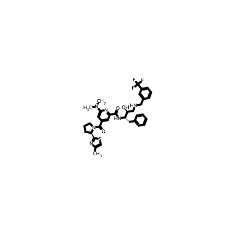 Cc1csc([C@H]2CCCN2C(=O)c2cc(C(=O)N[C@@H](Cc3ccccc3)[C@@H](O)CNCc3cccc(C(F)(F)F)c3)nc(N(C)C)c2)n1